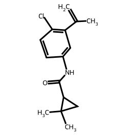 C=C(C)c1cc(NC(=O)C2CC2(C)C)ccc1Cl